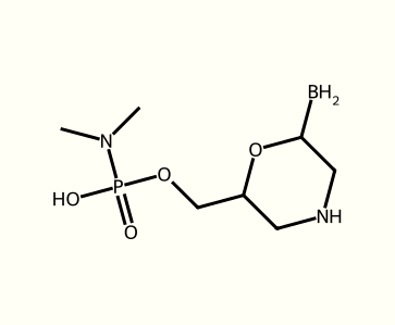 BC1CNCC(COP(=O)(O)N(C)C)O1